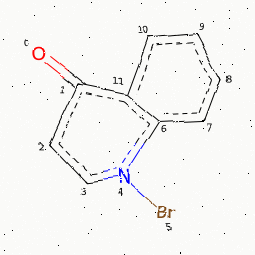 O=c1ccn(Br)c2ccccc12